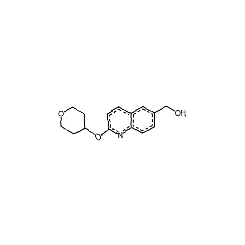 OCc1ccc2nc(OC3CCOCC3)ccc2c1